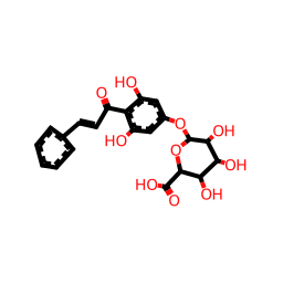 O=C(C=Cc1ccccc1)c1c(O)cc(OC2OC(C(=O)O)C(O)C(O)C2O)cc1O